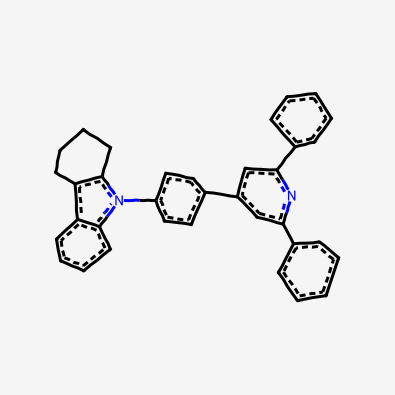 c1ccc(-c2cc(-c3ccc(-n4c5c(c6ccccc64)CCCC5)cc3)cc(-c3ccccc3)n2)cc1